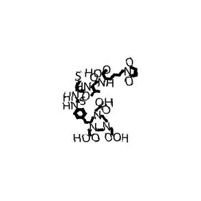 CSCCC(NC(=S)Nc1ccc(CC2CN(CC(=O)O)CCN(CC(=O)O)CCN2CC(=O)O)cc1)C(=O)NC(C(=O)NC(CCCCN1C(=O)C=CC1=O)C(=O)O)C(C)C